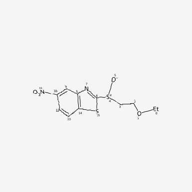 CCOCC[S+]([O-])c1nc2cc([N+](=O)[O-])ccc2s1